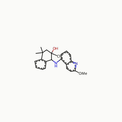 COc1ccc2c(NC3c4ccccc4C(C)(C)CC3(O)C(F)(F)F)cccc2n1